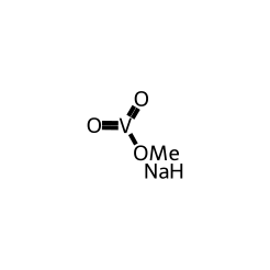 C[O][V](=[O])=[O].[NaH]